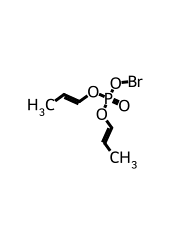 CC=COP(=O)(OBr)OC=CC